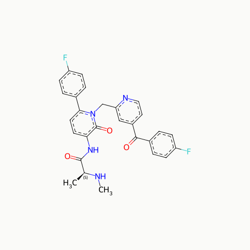 CN[C@@H](C)C(=O)Nc1ccc(-c2ccc(F)cc2)n(Cc2cc(C(=O)c3ccc(F)cc3)ccn2)c1=O